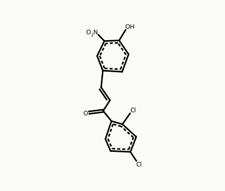 O=C(/C=C/c1ccc(O)c([N+](=O)[O-])c1)c1ccc(Cl)cc1Cl